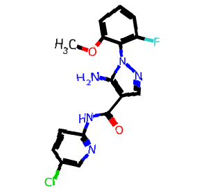 COc1cccc(F)c1-n1ncc(C(=O)Nc2ccc(Cl)cn2)c1N